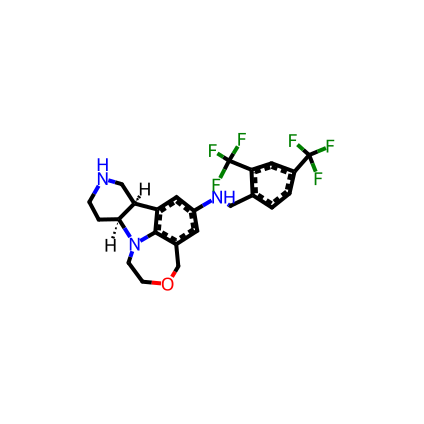 FC(F)(F)c1ccc(CNc2cc3c4c(c2)[C@@H]2CNCC[C@@H]2N4CCOC3)c(C(F)(F)F)c1